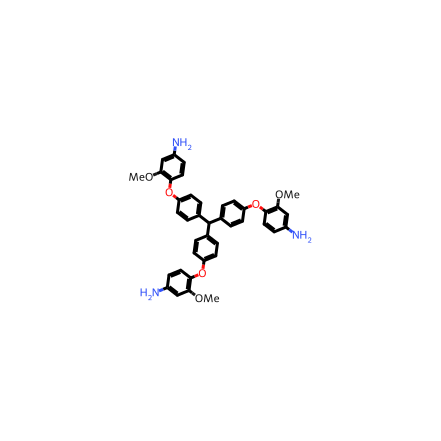 COc1cc(N)ccc1Oc1ccc(C(c2ccc(Oc3ccc(N)cc3OC)cc2)c2ccc(Oc3ccc(N)cc3OC)cc2)cc1